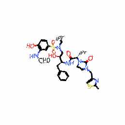 Cc1nc(CN2CCN([C@H](C(=O)N[C@@H](Cc3ccccc3)[C@@H](O)CN(CC(C)C)S(=O)(=O)c3ccc(O)c(NC=O)c3)C(C)C)C2=O)cs1